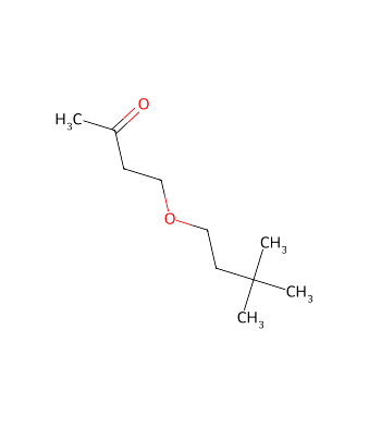 CC(=O)CCOCCC(C)(C)C